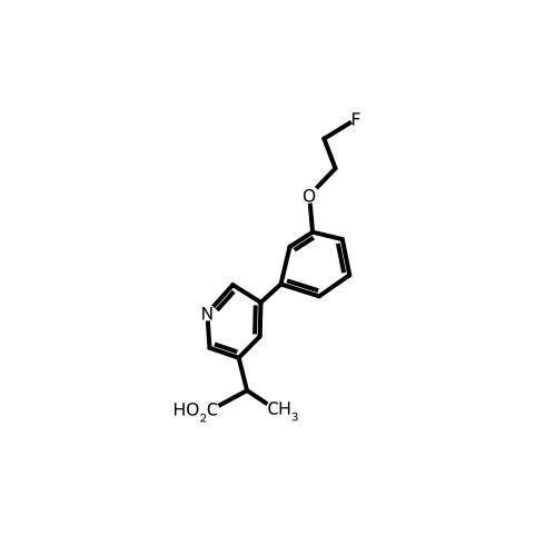 CC(C(=O)O)c1cncc(-c2cccc(OCCF)c2)c1